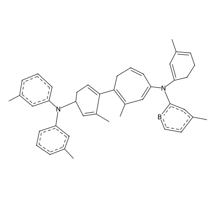 CC1=CCCC(N(C2=CC(C)=C(C3=CCC(N(c4cccc(C)c4)c4cccc(C)c4)C=C3C)CC=C2)c2bccc(C)c2)=C1